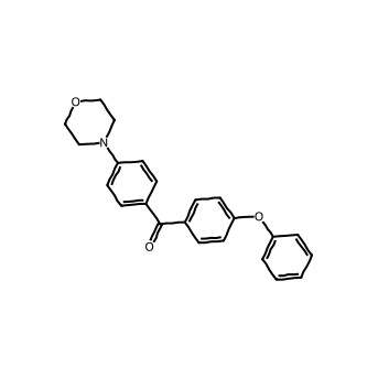 O=C(c1ccc(Oc2ccccc2)cc1)c1ccc(N2CCOCC2)cc1